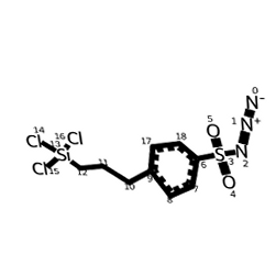 [N-]=[N+]=NS(=O)(=O)c1ccc(CCC[Si](Cl)(Cl)Cl)cc1